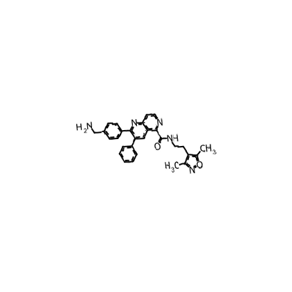 Cc1noc(C)c1CCNC(=O)c1nccc2nc(-c3ccc(CN)cc3)c(-c3ccccc3)cc12